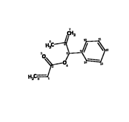 C=CC(=O)OC(C(=C)C)c1ccccc1